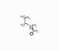 C=C(CC/C=C(\C)CCC=C(C)C)C(C)/C=C/C(C)c1ccccc1